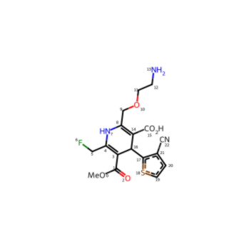 COC(=O)C1=C(CF)NC(COCCN)=C(C(=O)O)C1c1sccc1C#N